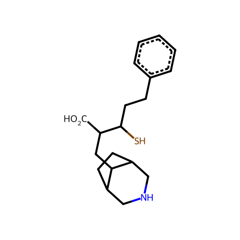 O=C(O)C(CC1C2CCC1CNC2)C(S)CCc1ccccc1